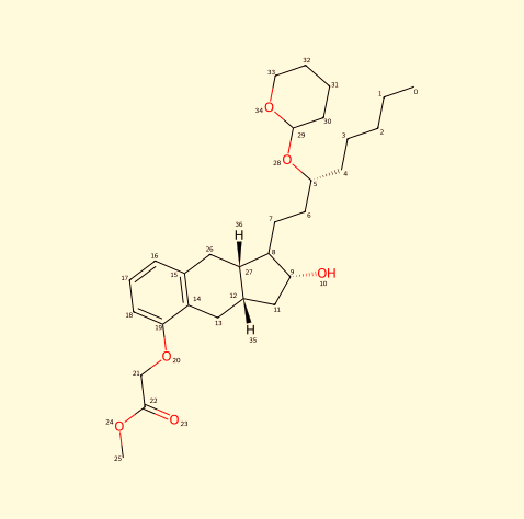 CCCCC[C@H](CCC1[C@H](O)C[C@@H]2Cc3c(cccc3OCC(=O)OC)C[C@H]12)OC1CCCCO1